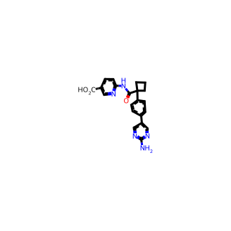 Nc1ncc(-c2ccc(C3(C(=O)Nc4ccc(C(=O)O)cn4)CCC3)cc2)cn1